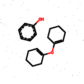 C1=C(OC2=CCCCC2)CCCC1.Oc1ccccc1